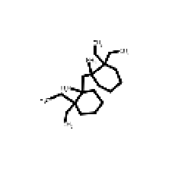 CCC1(CC)CCCCC1(N)CC1(N)CCCCC1(CC)CC